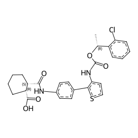 C[C@@H](OC(=O)Nc1ccsc1-c1ccc(NC(=O)[C@H]2CCCC[C@H]2C(=O)O)cc1)c1ccccc1Cl